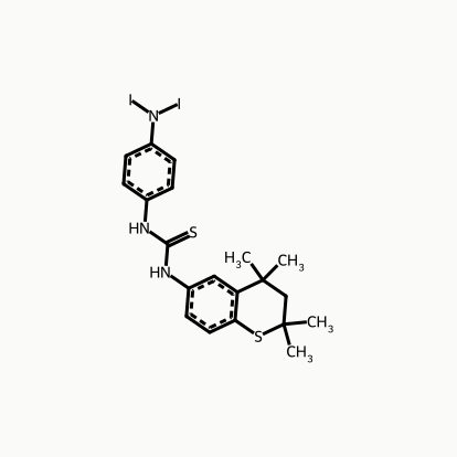 CC1(C)CC(C)(C)c2cc(NC(=S)Nc3ccc(N(I)I)cc3)ccc2S1